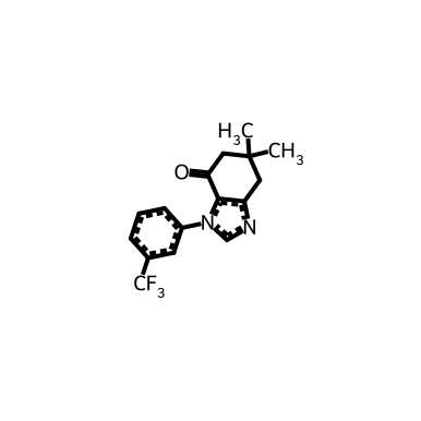 CC1(C)CC(=O)c2c(ncn2-c2cccc(C(F)(F)F)c2)C1